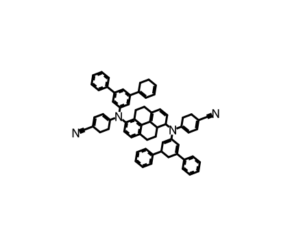 N#CC1=CC=C(N(c2cc(C3=CC=CCC3)cc(-c3ccccc3)c2)c2ccc3c4c2CCC2=C4C(CC3)C(N(C3=CC(c4ccccc4)CC(c4ccccc4)=C3)C3=CC=C(C#N)CC3)C=C2)CC1